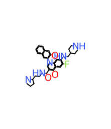 CN1CCCC1CCNC(=O)c1cn2c3c(c(NCC4CCNCC4)c(F)cc3c1=O)Oc1cc3ccccc3cc1-2